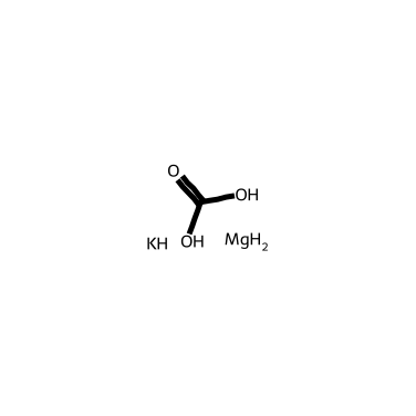 O=C(O)O.[KH].[MgH2]